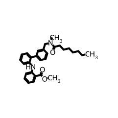 CCCCCCCC(=O)N(C)Cc1cccc(-c2ccccc2Nc2ccccc2C(=O)OC)c1